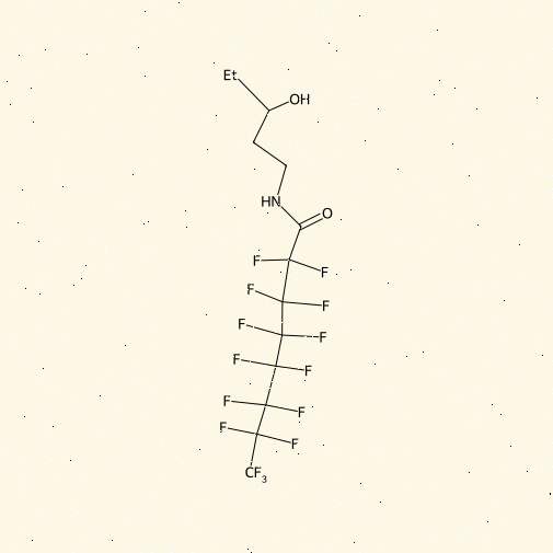 CCC(O)CCNC(=O)C(F)(F)C(F)(F)C(F)(F)C(F)(F)C(F)(F)C(F)(F)C(F)(F)F